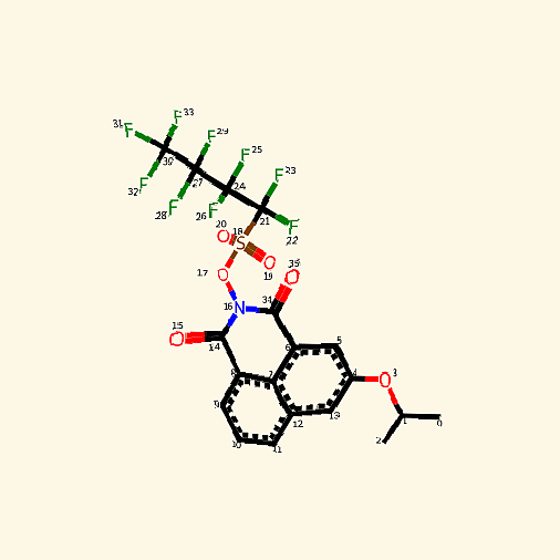 CC(C)Oc1cc2c3c(cccc3c1)C(=O)N(OS(=O)(=O)C(F)(F)C(F)(F)C(F)(F)C(F)(F)F)C2=O